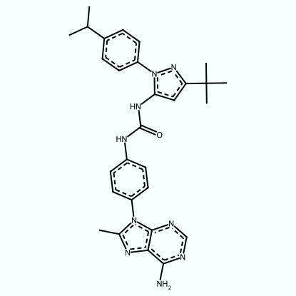 Cc1nc2c(N)ncnc2n1-c1ccc(NC(=O)Nc2cc(C(C)(C)C)nn2-c2ccc(C(C)C)cc2)cc1